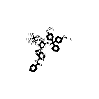 COc1ccc(C(OC[C@H]2O[C@@H](n3cnc4c(NC(=O)c5ccccc5)ncnc43)[C@H](O[Si](C)(C)C(C)(C)C)[C@@H]2O)(c2ccccc2)c2ccc(OC)cc2)cc1